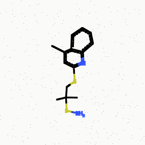 Cc1cc(SCC(C)(C)SN)nc2ccccc12